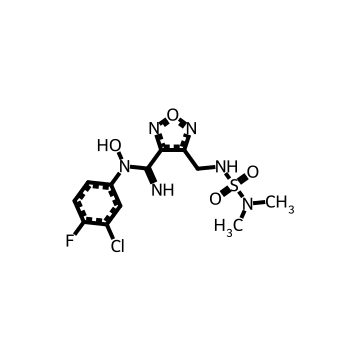 CN(C)S(=O)(=O)NCc1nonc1C(=N)N(O)c1ccc(F)c(Cl)c1